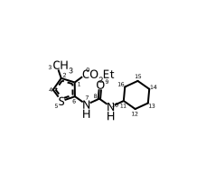 CCOC(=O)c1c(C)csc1NC(=O)NC1CCCCC1